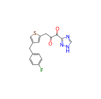 O=C(Cc1cc(Cc2ccc(F)cc2)cs1)C(=O)c1nc[nH]n1